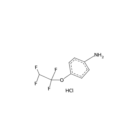 Cl.Nc1ccc(OC(F)(F)C(F)F)cc1